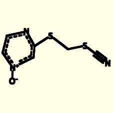 N#CSCSc1c[n+]([O-])ccn1